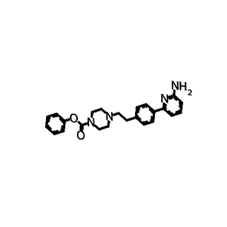 Nc1cccc(-c2ccc(CCN3CCN(C(=O)Oc4ccccc4)CC3)cc2)n1